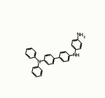 Nc1ccc(Nc2ccc(-c3ccc(N(c4ccccc4)c4ccccc4)cc3)cc2)cc1